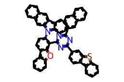 c1ccc2cc(-c3nc(-c4ccc5c(c4)sc4ccccc45)nc(-c4c(-n5c6ccccc6c6cc7ccccc7cc65)ccc5c4oc4ccccc45)n3)ccc2c1